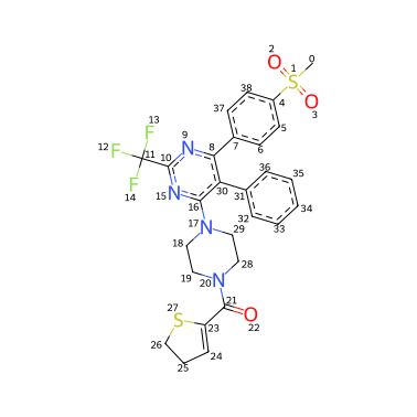 CS(=O)(=O)c1ccc(-c2nc(C(F)(F)F)nc(N3CCN(C(=O)C4=CCCS4)CC3)c2-c2ccccc2)cc1